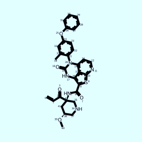 C=CC(=O)[C@]1(NC(=O)c2sc3nccc4c3c2NC(=O)N4c2ccc(Oc3ccccc3)cc2C)CNC[C@H](OC)C1